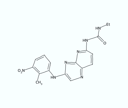 CCNC(=O)Nc1ccc2ncc(Nc3cccc([N+](=O)[O-])c3C)nc2n1